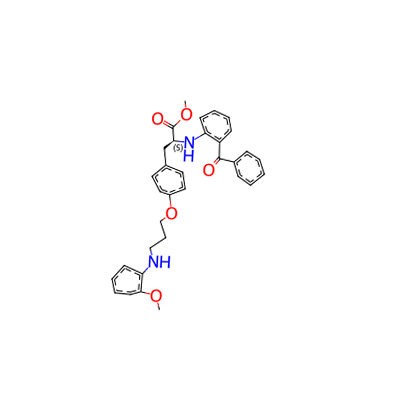 COC(=O)[C@H](Cc1ccc(OCCCNc2ccccc2OC)cc1)Nc1ccccc1C(=O)c1ccccc1